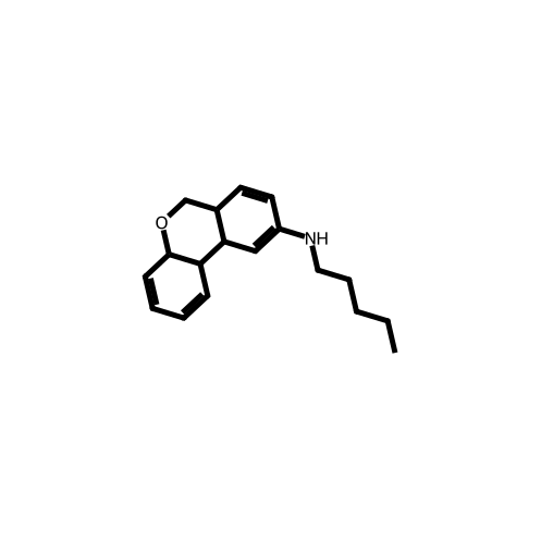 CCCCCNC1=CC2C(C=C1)COC1C=CC=CC12